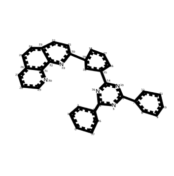 c1ccc(-c2nc(-c3ccccc3)nc(-c3cccc(-c4ccc5ccc6cccnc6c5n4)c3)n2)cc1